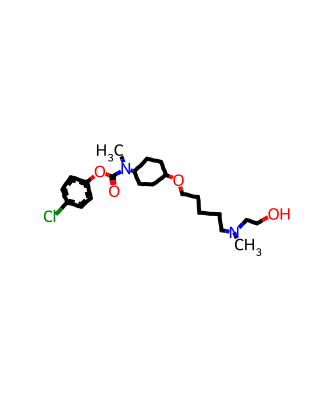 CN(CCO)CCCCCOC1CCC(N(C)C(=O)Oc2ccc(Cl)cc2)CC1